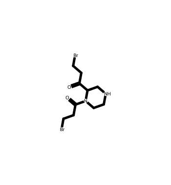 O=C(CCBr)C1CNCCN1C(=O)CCBr